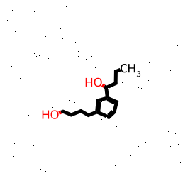 CCCC(O)c1cccc(CCCCO)c1